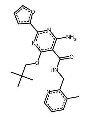 Cc1cccnc1CNC(=O)c1c(N)nc(-c2ccco2)nc1OCC(C)(C)C